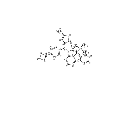 CC(C)(C)[Si](OCC(c1cnc(N2CCC2)nc1)n1cc(N)cn1)(c1ccccc1)c1ccccc1